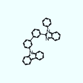 c1ccc(-n2c(-c3cccc(-c4cccc(-n5c6ccccc6c6ccccc65)c4)c3)nc3ccccc32)cc1